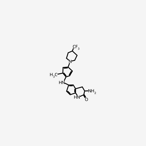 Cc1cc(N2CCC(C(F)(F)F)CC2)ccc1Nc1ccc2c(c1)CC(N)C(=O)N2